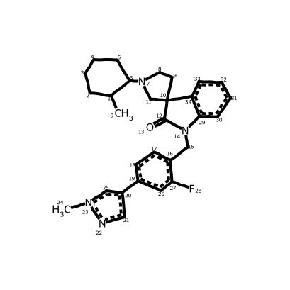 CC1CCCCC1N1CCC2(C1)C(=O)N(Cc1ccc(-c3cnn(C)c3)cc1F)c1ccccc12